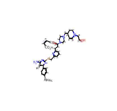 CC(=O)Nc1ccc(-c2nc(SCc3cccc(CCC(=O)N4CCN(CC5CCN(CCO)CC5)CC4)n3)nc(N)c2C#N)cc1.O=C(O)/C=C\C(=O)O